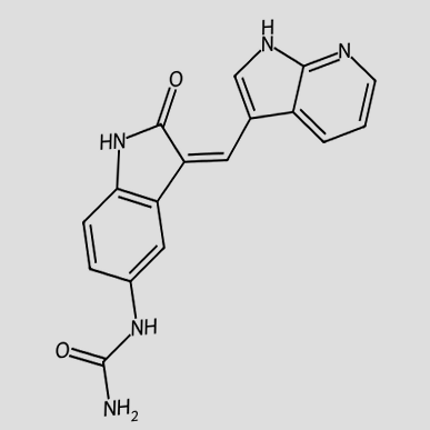 NC(=O)Nc1ccc2c(c1)C(=Cc1c[nH]c3ncccc13)C(=O)N2